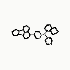 C1=CC(N(c2ccncc2)c2cccc3ccccc23)CC=C1c1ccc2c3c(cccc13)-c1ccccc1-2